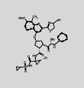 CC[C@@H]1C[C@]1(NC(=O)[C@@H]1C[C@@H](Oc2cc(C3=NC(C(C)C)CS3)nc3c(C)c(OC)ccc23)CN1C(=O)[C@@H](Nc1ccccc1)C(C)(C)C)C(=O)NS(=O)(=O)C1CC1